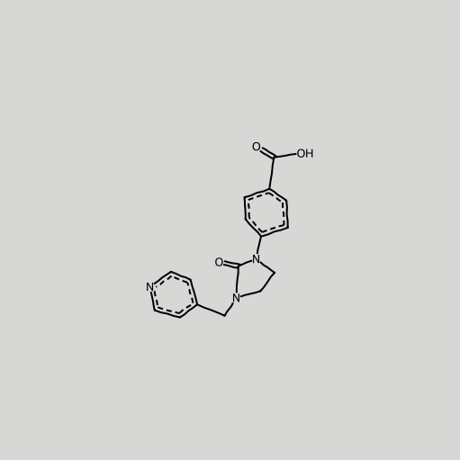 O=C(O)c1ccc(N2CCN(Cc3ccncc3)C2=O)cc1